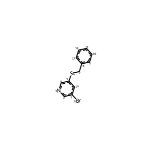 Brc1cncc(SCc2ccccc2)c1